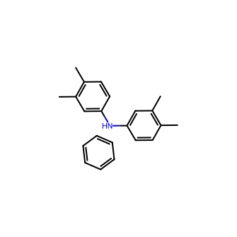 Cc1ccc(Nc2ccc(C)c(C)c2)cc1C.c1ccccc1